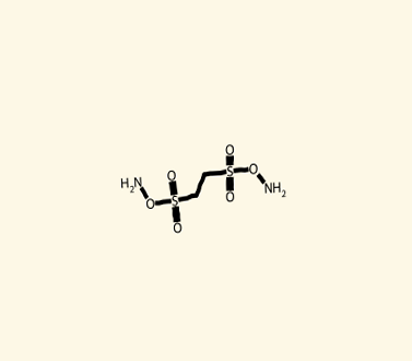 NOS(=O)(=O)CCS(=O)(=O)ON